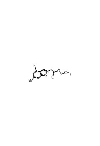 CCOC(=O)Cn1cc2c(F)cc(Br)cc2n1